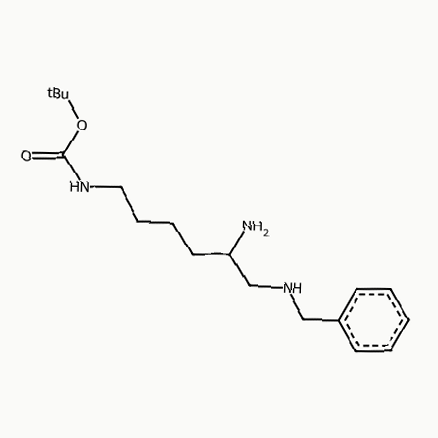 CC(C)(C)OC(=O)NCCCCC(N)CNCc1ccccc1